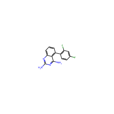 Nc1nc(N)c2c(-c3ccc(F)cc3F)cccc2n1